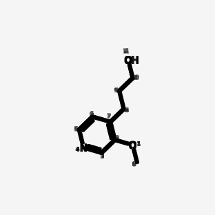 COc1cnccc1CCCO